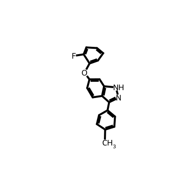 Cc1ccc(-c2n[nH]c3cc(Oc4ccccc4F)ccc23)cc1